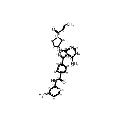 C/C=C/C(=O)N1CCC(n2nc(-c3ccc(C(=O)Nc4cc(C)ccn4)cc3)c3c(N)ncnc32)C1